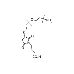 CC(C)(N)CCOC(C)(C)CCSC1CC(=O)N(CCCC(=O)O)C1=O